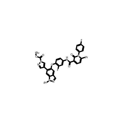 CC(C)c1ccc(C(=O)Nc2ccc(Oc3cc4cnn(C(C)C)c4cc3-c3cnn(C(=O)OC(C)(C)C)c3)c(F)c2)c(=O)n1-c1ccc(F)cc1